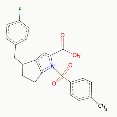 Cc1ccc(S(=O)(=O)n2c(C(=O)O)cc3c2CCC3Cc2ccc(F)cc2)cc1